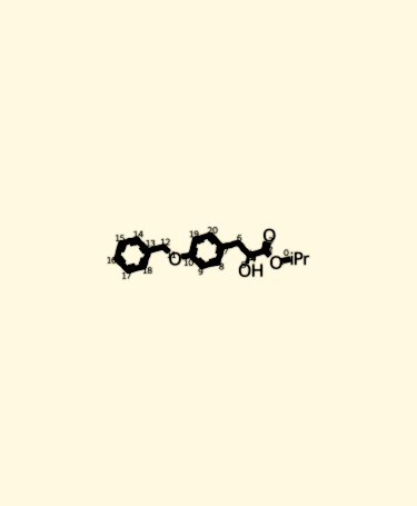 CC(C)OC(=O)[C@@H](O)Cc1ccc(OCc2ccccc2)cc1